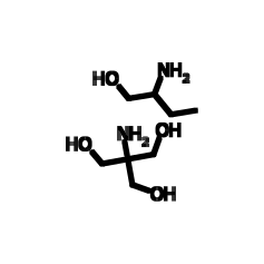 CCC(N)CO.NC(CO)(CO)CO